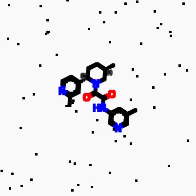 Cc1cncc(NC(=O)C(=O)N2C[C@H](C)CC[C@H]2c2ccnc(C)c2)c1